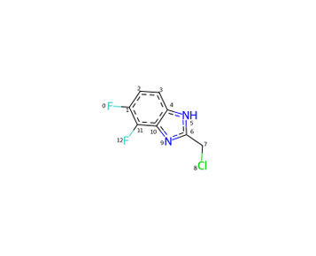 Fc1ccc2[nH]c(CCl)nc2c1F